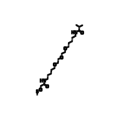 CSOCC(=O)NCCCCCOCCOCCOCCCCCNC(=O)C(C)C